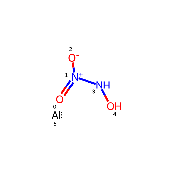 O=[N+]([O-])NO.[Al]